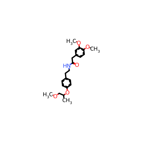 COCC(C)Oc1ccc(CCNC(=O)Cc2ccc(OC)c(OC)c2)cc1